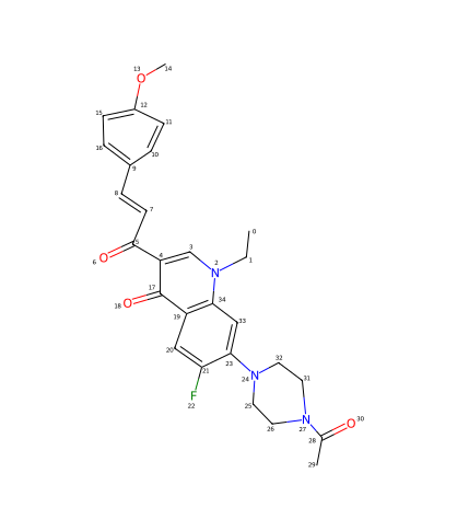 CCn1cc(C(=O)C=Cc2ccc(OC)cc2)c(=O)c2cc(F)c(N3CCN(C(C)=O)CC3)cc21